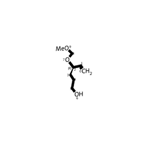 C=C[C@@H](CCCO)OCOC